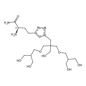 NC(=O)[C@H](N)CCc1cn(CC(CO)(COCC(CO)CO)COCC(CO)CO)nn1